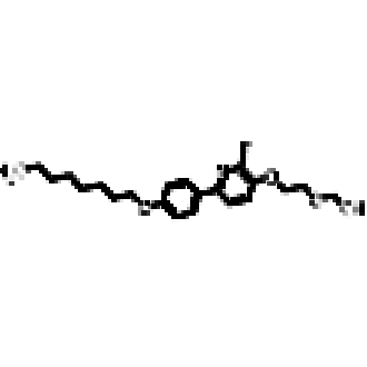 CCCCCCCCOc1ccc(-c2ccc(OCCOCC)c(F)n2)cc1